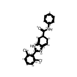 O=C(Nc1ccccc1)C1C=c2[nH]c(-c3c(Cl)cccc3Cl)nc2=CC1